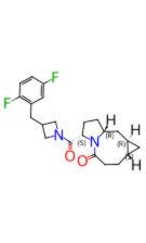 O=C([C@@H]1CC[C@@H]2C[C@H]3C[C@@H]3CCC(=O)N21)N1CC(Cc2cc(F)ccc2F)C1